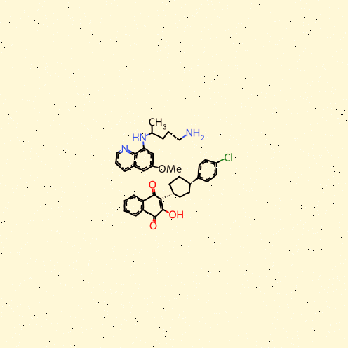 COc1cc(NC(C)CCCN)c2ncccc2c1.O=C1C(O)=C([C@H]2CC[C@H](c3ccc(Cl)cc3)CC2)C(=O)c2ccccc21